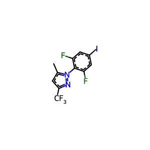 Cc1cc(C(F)(F)F)nn1-c1c(F)cc(I)cc1F